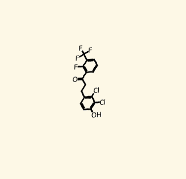 O=C(CCc1ccc(O)c(Cl)c1Cl)c1cccc(C(F)(F)F)c1F